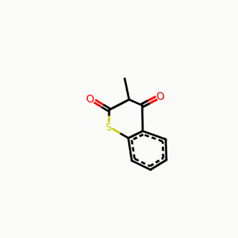 CC1C(=O)Sc2ccccc2C1=O